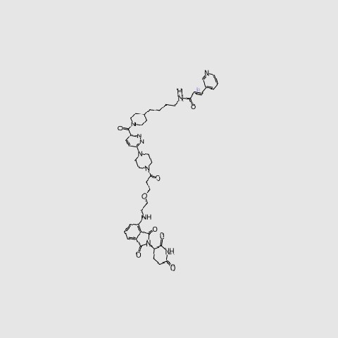 O=C(/C=C/c1cccnc1)NCCCCC1CCN(C(=O)c2ccc(N3CCN(C(=O)CCOCCNc4cccc5c4C(=O)N(C4CCC(=O)NC4=O)C5=O)CC3)nn2)CC1